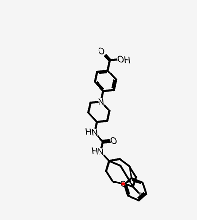 O=C(NC1CCN(c2ccc(C(=O)O)cc2)CC1)NC12CC3CC(F)(CC(C1)c1ccccc13)C2